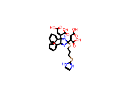 O=C(O)C=C(C(=O)O)C1(SCCCSc2ncc[nH]2)N=C(c2ccccc2)C(C(=CC(=O)O)C(=O)O)(c2ccccc2)N1